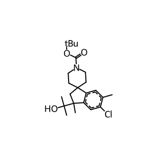 Cc1cc2c(cc1Cl)C(C)(C(C)(C)O)CC21CCN(C(=O)OC(C)(C)C)CC1